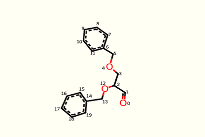 O=CC(COCc1ccccc1)OCc1ccccc1